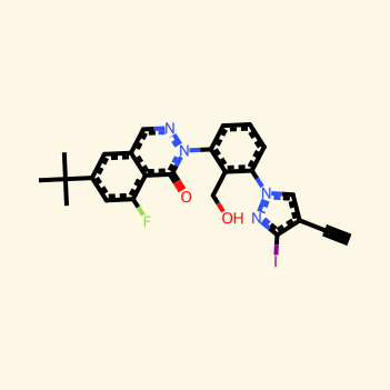 C#Cc1cn(-c2cccc(-n3ncc4cc(C(C)(C)C)cc(F)c4c3=O)c2CO)nc1I